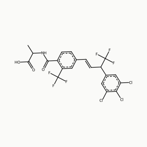 CC(NC(=O)c1ccc(/C=C/C(c2cc(Cl)c(Cl)c(Cl)c2)C(F)(F)F)cc1C(F)(F)F)C(=O)O